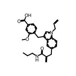 C=CCn1cc(Cc2ccc(C(=O)O)cc2OC)c2cc(CC(=C)C(=O)NCCC)ccc21